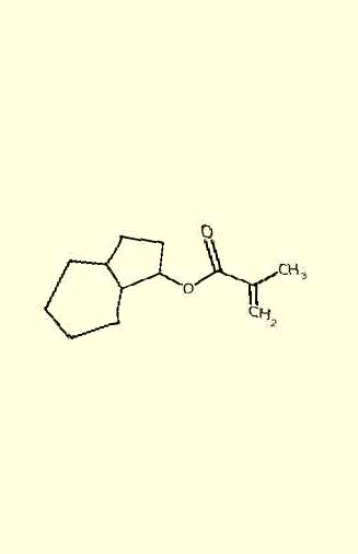 C=C(C)C(=O)OC1CCC2CCCCC21